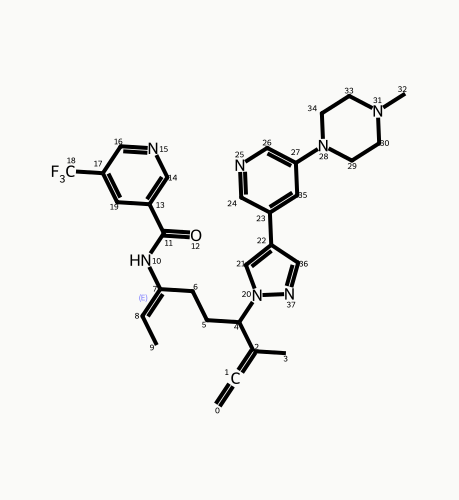 C=C=C(C)C(CC/C(=C\C)NC(=O)c1cncc(C(F)(F)F)c1)n1cc(-c2cncc(N3CCN(C)CC3)c2)cn1